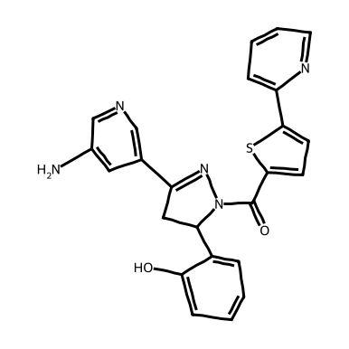 Nc1cncc(C2=NN(C(=O)c3ccc(-c4ccccn4)s3)C(c3ccccc3O)C2)c1